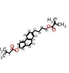 C=C(C)CC(=O)Oc1ccc2c(ccc3cc(CCCCOC(=O)C(=C)C)ccc32)c1